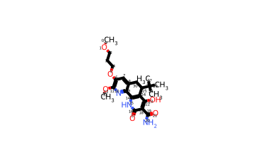 COCCCOc1cc2c(nc1OC)-c1[nH]c(=O)c(C(N)=O)c(O)c1C(C(C)(C)C)C2